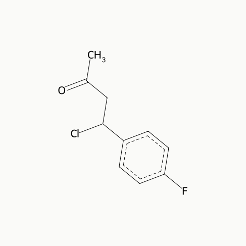 CC(=O)CC(Cl)c1ccc(F)cc1